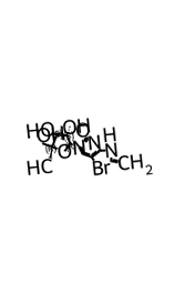 C#C[C@]1(CO)O[C@@H](n2cc(Br)c(NC=C)nc2=O)[C@@H](O)[C@@H]1O